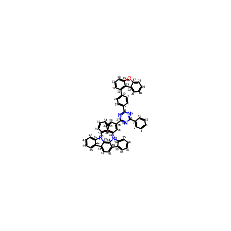 c1ccc(-c2nc(-c3ccc(-c4cccc5oc6ccccc6c45)cc3)nc(-c3cccc(-n4c5ccccc5c5ccc6c7ccccc7n(-c7ccccc7)c6c54)c3)n2)cc1